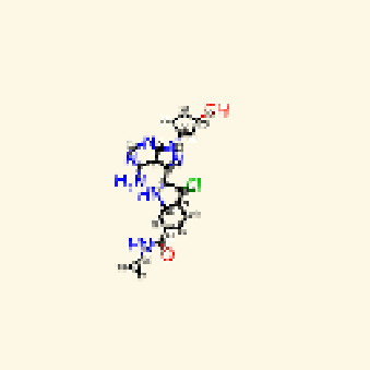 Nc1ncnc2c1c(-c1[nH]c3cc(C(=O)NC4CC4)ccc3c1Cl)nn2C1CCC(O)C1